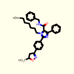 CCCCCCCCCCCCCCCCn1c(-c2ccc(C3=NOC(C(=O)O)C3)cc2)nc(-c2ccccc2)c1C(=O)NCc1ccccc1